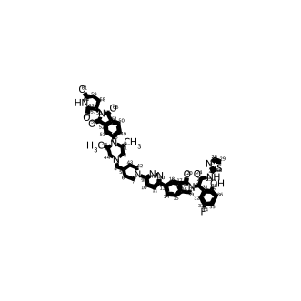 CC1CN(CC2CCN(c3ccc(-c4ccc5c(c4)C(=O)N(C(C(=O)Nc4nccs4)c4cc(F)ccc4O)C5)nn3)CC2)CC(C)N1c1ccc2c(c1)C(=O)N(C1CCC(=O)NC1=O)C2=O